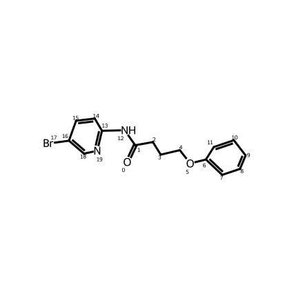 O=C(CCCOc1ccccc1)Nc1ccc(Br)cn1